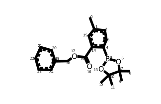 Cc1ccc(B2OC(C)(C)C(C)(C)O2)c(C(=O)OCc2ccccc2)c1